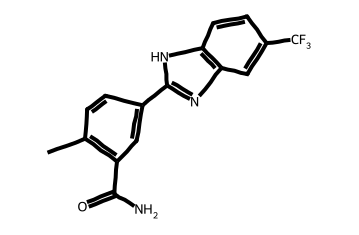 Cc1ccc(-c2nc3cc(C(F)(F)F)ccc3[nH]2)cc1C(N)=O